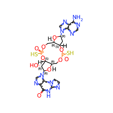 Nc1ncnc2c1ncn2[C@H]1C[C@@H]2OP(=O)(S)OC[C@H]3O[C@@H](n4cnc5c(=O)[nH]c6nccn6c54)[C@H](O)[C@@H]3OP(=O)(S)OC[C@H]2O1